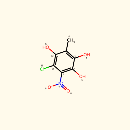 Cc1c(O)c(O)c([N+](=O)[O-])c(Cl)c1O